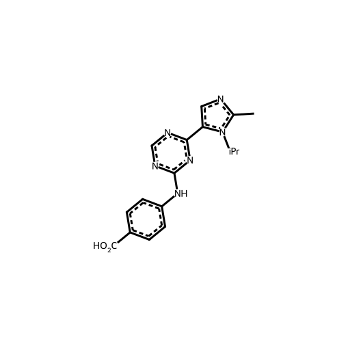 Cc1ncc(-c2ncnc(Nc3ccc(C(=O)O)cc3)n2)n1C(C)C